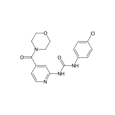 O=C(Nc1ccc(Cl)cc1)Nc1cc(C(=O)N2CCOCC2)ccn1